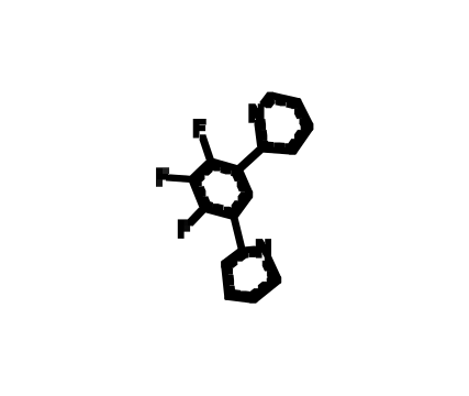 Fc1c(-c2ccccn2)cc(-c2ccccn2)c(F)c1F